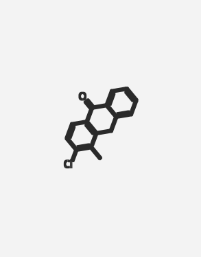 Cc1c(Cl)ccc2c1Cc1ccccc1C2=O